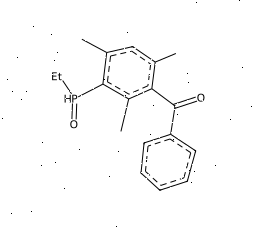 CC[PH](=O)c1c(C)cc(C)c(C(=O)c2ccccc2)c1C